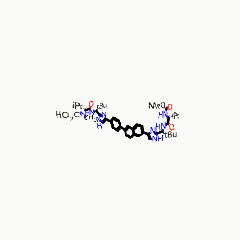 COC(=O)N[C@@H](C(=O)N[C@H](c1nc(-c2ccc3cc(-c4ccc(-c5c[nH]c([C@@H](NC(=O)[C@@H](C(C)C)N(C)C(=O)O)C(C)(C)C)n5)cc4)ccc3c2)c[nH]1)C(C)(C)C)C(C)C